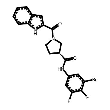 O=C(Nc1cc(F)c(F)c(Br)c1)[C@H]1CCN(C(=O)c2cc3ccccc3[nH]2)C1